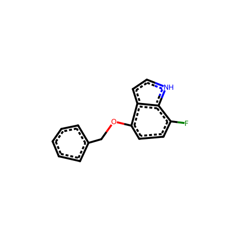 Fc1ccc(OCc2ccccc2)c2cc[nH]c12